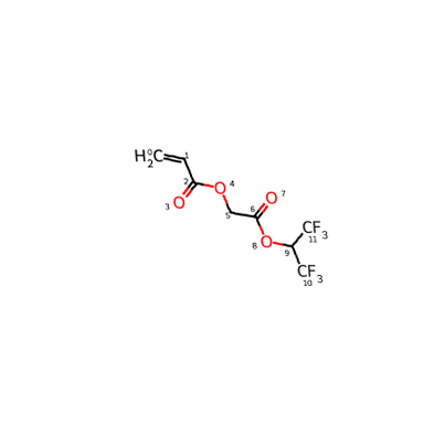 C=CC(=O)OCC(=O)OC(C(F)(F)F)C(F)(F)F